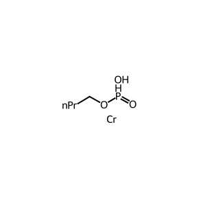 CCCCO[PH](=O)O.[Cr]